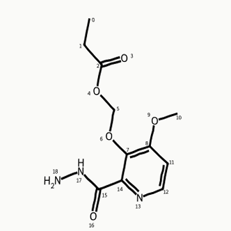 CCC(=O)OCOc1c(OC)ccnc1C(=O)NN